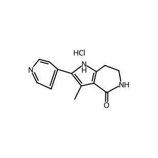 Cc1c(-c2ccncc2)[nH]c2c1C(=O)NCC2.Cl